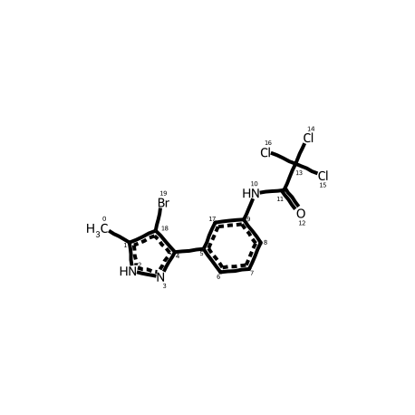 Cc1[nH]nc(-c2cccc(NC(=O)C(Cl)(Cl)Cl)c2)c1Br